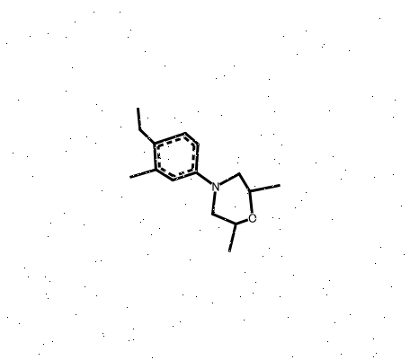 CCc1ccc(N2CC(C)OC(C)C2)cc1C